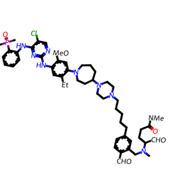 CCc1cc(Nc2ncc(Cl)c(Nc3ccccc3P(C)(C)=O)n2)c(OC)cc1N1CCCC(N2CCN(CCCCCc3ccc(C=O)c(CN(C)C(C=O)CCC(=O)NC)c3)CC2)CC1